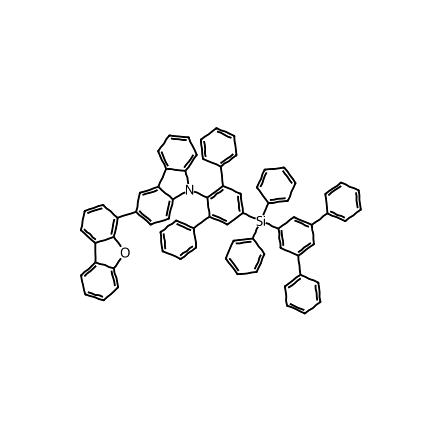 c1ccc(-c2cc(-c3ccccc3)cc([Si](c3ccccc3)(c3ccccc3)c3cc(-c4ccccc4)c(-n4c5ccccc5c5cc(-c6cccc7c6oc6ccccc67)ccc54)c(-c4ccccc4)c3)c2)cc1